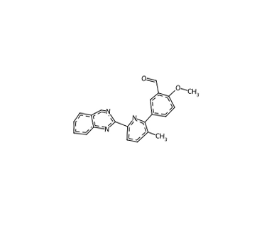 COc1ccc(-c2nc(-c3ncc4ccccc4n3)ccc2C)cc1C=O